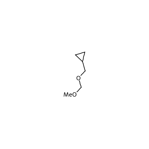 COCOCC1CC1